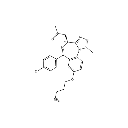 CC(=O)C[C@@H]1N=C(c2ccc(Cl)cc2)c2cc(OCCCN)ccc2-n2c(C)nnc21